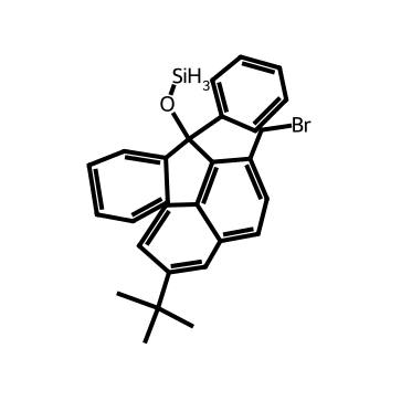 CC(C)(C)c1ccc2c(C(O[SiH3])(c3ccccc3)c3ccccc3)c(CBr)ccc2c1